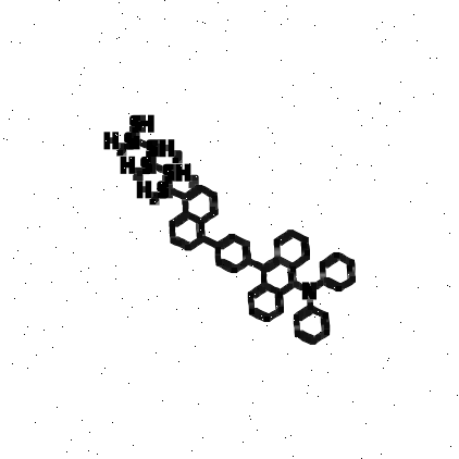 S[SiH2][SiH2][SiH2][SiH2][SiH2]c1cccc2c(-c3ccc(-c4c5ccccc5c(N(c5ccccc5)c5ccccc5)c5ccccc45)cc3)cccc12